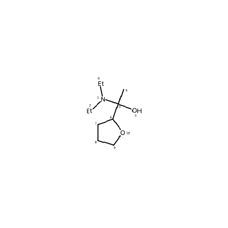 CCN(CC)C(C)(O)C1CCCO1